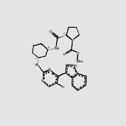 CC(C)(C)OC(=O)N1CCC[C@H]1C(=O)N[C@H]1CCC[C@@H](Nc2ncc(Cl)c(-c3c[nH]c4ccccc34)n2)C1